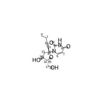 CCC#C[C@]1(n2ccc(=O)[nH]c2=O)C[C@H](O)[C@@H](CO)O1